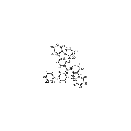 c1ccc(-c2cccc(C(c3ccc4c(c3)C3(CC5CCC3C5)c3ccccc3-4)c3cccc4c3oc3ccccc34)c2)cc1